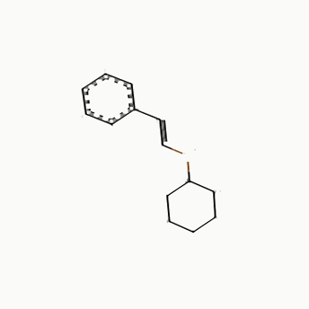 C(=C\c1ccccc1)/SC1CCCCC1